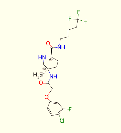 O=C(COc1ccc(Cl)c(F)c1)N[C@]1([SiH3])CC[C@H](C(=O)NCCCCC(F)(F)F)NC1